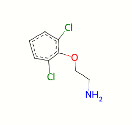 NCCOc1c(Cl)cccc1Cl